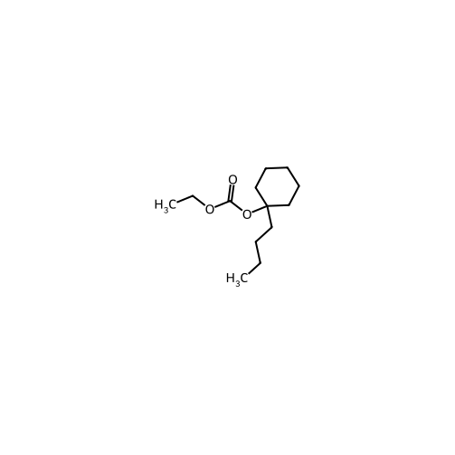 CCCCC1(OC(=O)OCC)CCCCC1